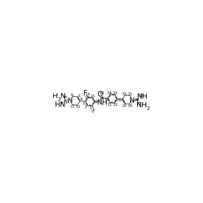 Cc1cc(C2=CCN(C(=N)N)CC2)c(F)cc1NC(=O)c1ccc(C2=CCN(C(=N)N)CC2)cc1